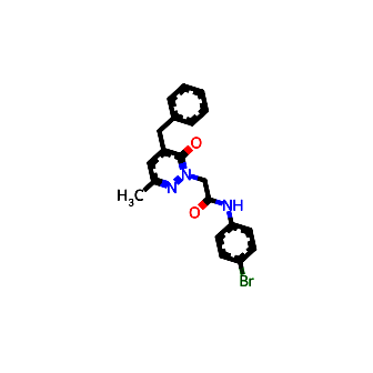 Cc1cc(Cc2ccccc2)c(=O)n(CC(=O)Nc2ccc(Br)cc2)n1